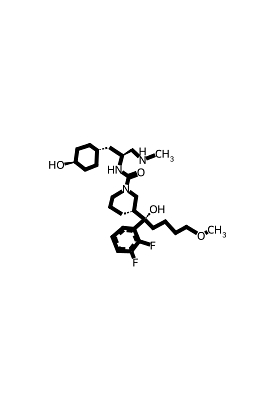 CNC[C@H](C[C@H]1CC[C@H](O)CC1)NC(=O)N1CCC[C@@H]([C@@](O)(CCCCOC)c2cccc(F)c2F)C1